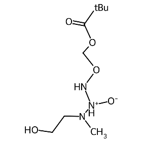 CN(CCO)[NH+]([O-])NOCOC(=O)C(C)(C)C